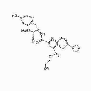 COC(=O)[C@H](Cc1ccc(O)cc1)NC(=O)c1cc(C(=O)OCCO)c2cc(-c3cccs3)ccc2n1